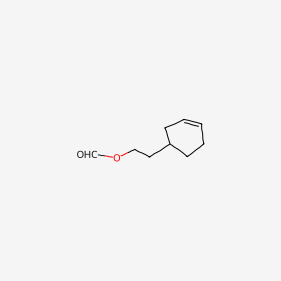 O=COCCC1CC=CCC1